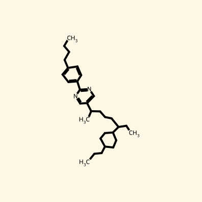 CCCCc1ccc(-c2ncc(C(C)CCCC(CC)C3CCC(CCC)CC3)cn2)cc1